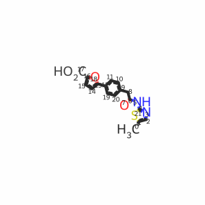 Cc1cnc(NC(=O)Cc2ccc(-c3ccc(C(=O)O)o3)cc2)s1